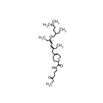 CCC(=O)CCCNC(=O)C1CCC=C(C/C(=C/C=C(\CC)OCC(CC)CCN(C)C)CC)CC1